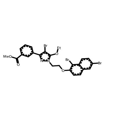 CCOc1c(Br)c(-c2cccc(C(=O)OC)c2)nn1CCOc1ccc2cc(Br)ccc2c1Br